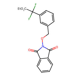 CCOC(=O)C(F)(F)c1cccc(CON2C(=O)c3ccccc3C2=O)c1